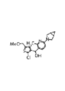 COCc1cc(C(O)c2ccc(N3CC4CC4C3)nc2C)c(Cl)s1